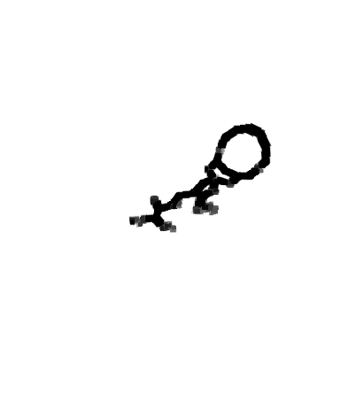 C=C(C)C(=O)NCCC[Si]1(OCC)OC2CCCCCCCCCC(C2)O1